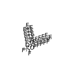 FC1=C(F)OC(C(F)(F)C(F)(F)C(F)(F)C(F)(F)C(F)(F)F)(C(F)(F)C(F)(F)C(F)(F)C(F)(F)C(F)(F)F)O1